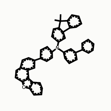 CC1(C)c2ccccc2-c2cc(N(c3ccc(-c4ccc5ccc6oc7ccccc7c6c5c4)cc3)c3cccc(-c4ccccc4)c3)ccc21